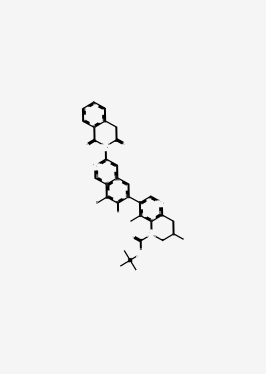 Cc1c(-c2cc3cc(N4C(=O)Cc5ccccc5C4=O)ncc3c(Cl)c2F)cnc2c1N(C(=O)OC(C)(C)C)CC(C)C2